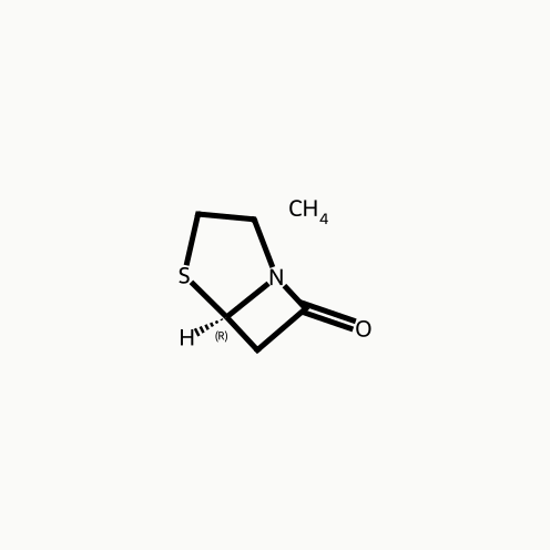 C.O=C1C[C@H]2SCCN12